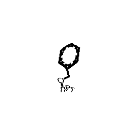 CCCOCc1ccccc1